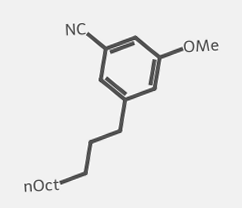 CCCCCCCCCCCc1cc(C#N)cc(OC)c1